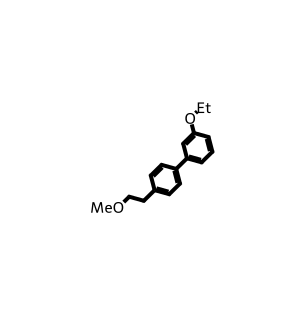 CCOc1cccc(-c2ccc(CCOC)cc2)c1